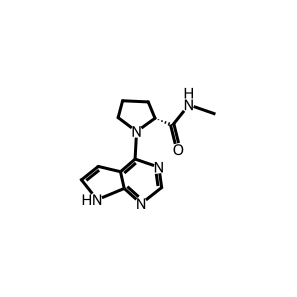 CNC(=O)[C@H]1CCCN1c1ncnc2[nH]ccc12